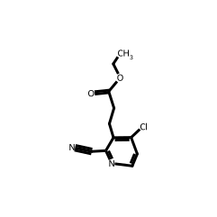 CCOC(=O)CCc1c(Cl)ccnc1C#N